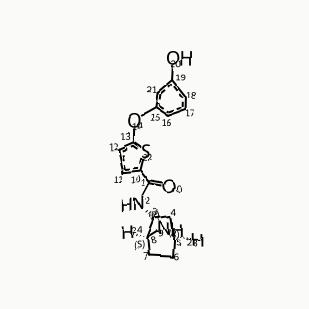 O=C(N[C@@H]1C[C@H]2CC[C@@H]1N2)c1ccc(Oc2cccc(O)c2)s1